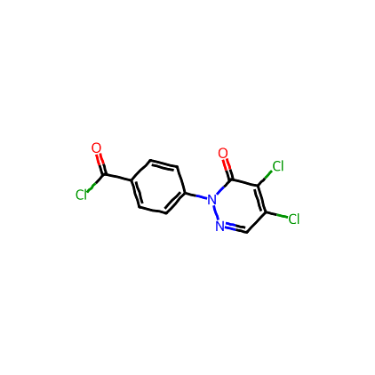 O=C(Cl)c1ccc(-n2ncc(Cl)c(Cl)c2=O)cc1